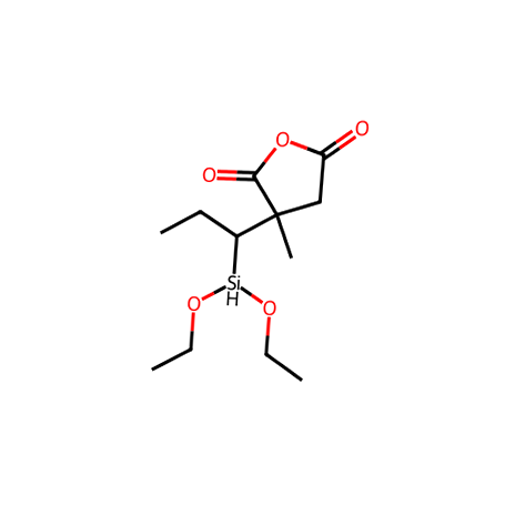 CCO[SiH](OCC)C(CC)C1(C)CC(=O)OC1=O